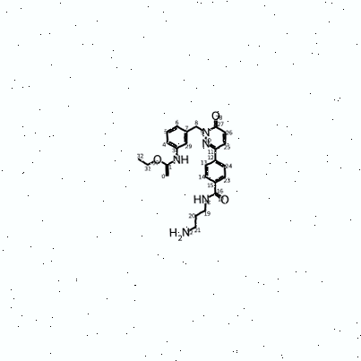 C=C(Nc1cccc(Cn2nc(-c3ccc(C(=O)NCCCN)cc3)ccc2=O)c1)OCC